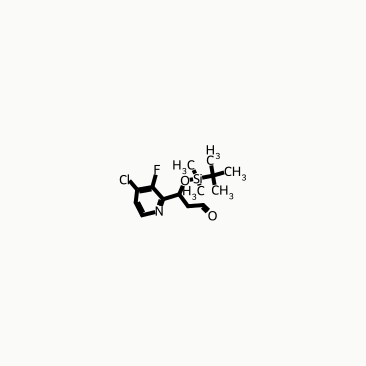 CC(C)(C)[Si](C)(C)OC(CC=O)c1nccc(Cl)c1F